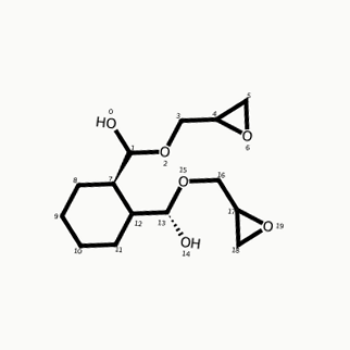 OC(OCC1CO1)[C@@H]1CCCCC1[C@@H](O)OCC1CO1